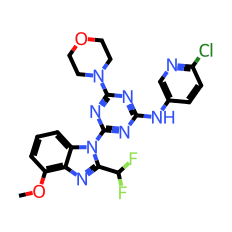 COc1cccc2c1nc(C(F)F)n2-c1nc(Nc2ccc(Cl)nc2)nc(N2CCOCC2)n1